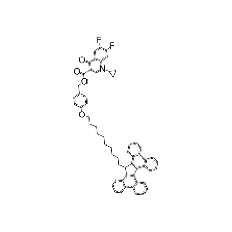 O=C(OCc1ccc(OCCCCCCCCCCC2c3c(c4ccccc4c4ccccc34)-c3c2c2ccccc2c2ccccc32)cc1)c1cn(C2CC2)c2cc(F)c(F)cc2c1=O